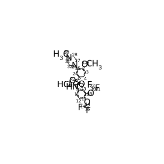 COc1ccc(S(=O)(=O)Nc2ccc(OC(F)F)c(OC(F)F)c2)cc1N1CCN(C)CC1.Cl